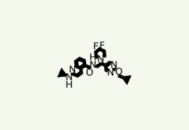 O=C(NCC(c1cnc(OCC2CC2)nc1)N1CCC(F)(F)CC1)c1cccc2nc(NC3CC3)ccc12